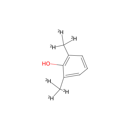 [2H]C([2H])([2H])c1cccc(C([2H])([2H])[2H])c1O